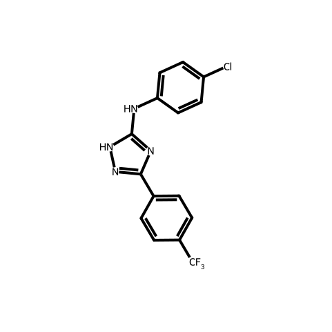 FC(F)(F)c1ccc(-c2n[nH]c(Nc3ccc(Cl)cc3)n2)cc1